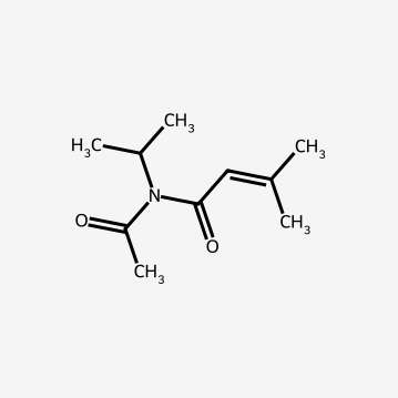 CC(=O)N(C(=O)C=C(C)C)C(C)C